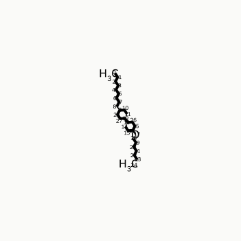 CCCCCCCCC[C@H]1CC[C@H]([C@H]2CC[C@H](OCCCCCCC)CC2)CC1